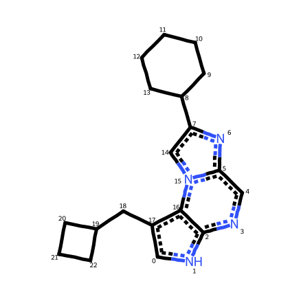 c1[nH]c2ncc3nc(C4CCCCC4)cn3c2c1CC1CCC1